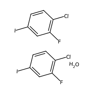 Fc1cc(I)ccc1Cl.Fc1cc(I)ccc1Cl.O